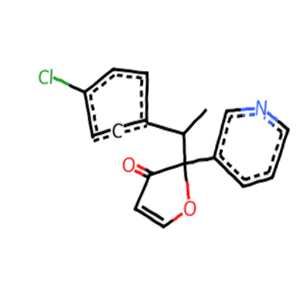 CC(c1ccc(Cl)cc1)C1(c2cccnc2)OC=CC1=O